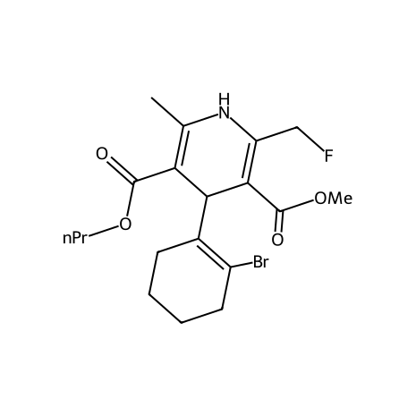 CCCOC(=O)C1=C(C)NC(CF)=C(C(=O)OC)C1C1=C(Br)CCCC1